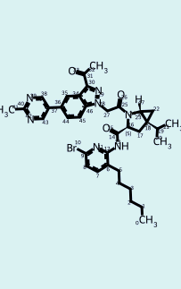 CCCCCCc1ccc(Br)nc1NC(=O)[C@@H]1C[C@@]2(C(C)C)C[C@H]2N1C(=O)Cn1nc(C(C)=O)c2cc(-c3cnc(C)nc3)ccc21